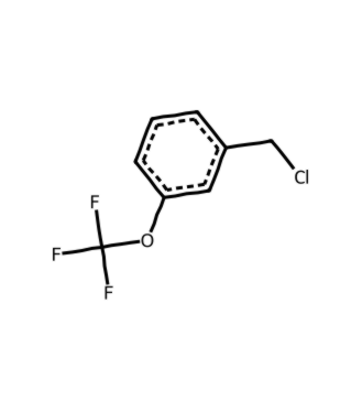 FC(F)(F)Oc1cccc(CCl)c1